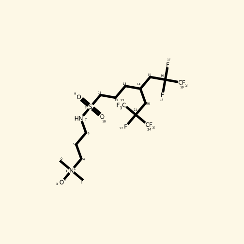 C[N+](C)([O-])CCCNS(=O)(=O)CCCC(CC(F)(F)C(F)(F)F)CC(F)(C(F)(F)F)C(F)(F)F